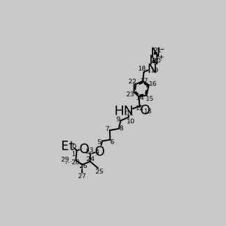 CCC1O[C@@H](OCCCCCCNC(=O)c2ccc(CN=[N+]=[N-])cc2)C(C)[C@@H](C)[C@@H]1C